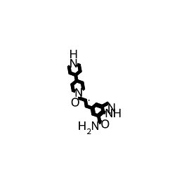 NC(=O)c1cc(C[CH]C(=O)N2CCC(C3CCNCC3)CC2)cc2cn[nH]c12